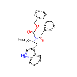 O=C(O)[C@H](Cc1c[nH]c2ccccc12)N(C(=O)OCc1ccccc1)C(=O)c1ccccc1